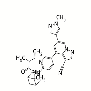 C=CC(C)C(=O)NC1(C)C2CC1CN(c1ccc(-c3cc(-c4cnn(C)c4)cn4ncc(C#N)c34)cn1)C2